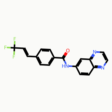 O=C(Nc1ccc2nccnc2c1)c1ccc(C=CC(F)(F)F)cc1